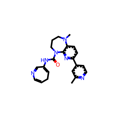 Cc1cc(-c2ccc3c(n2)N(C(=O)NC2=CCC=CN=C2)CCCN3C)ccn1